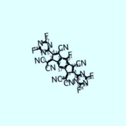 N#CC(C#N)=C1C(c2nc(F)nc(F)n2)=C(C#N)c2c1cc1c(c2F)C(C#N)=C(c2nc(F)nc(F)n2)C1=C(C#N)C#N